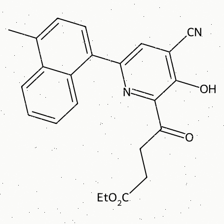 CCOC(=O)CCC(=O)c1nc(-c2ccc(C)c3ccccc23)cc(C#N)c1O